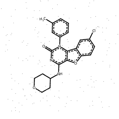 Cc1cccc(-n2c(=O)nc(NC3CCOCC3)c3oc4ccc(Cl)cc4c32)c1